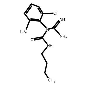 CCCCNC(=O)N(C(=N)N)c1c(C)cccc1Cl